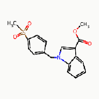 COC(=O)c1cn(Cc2ccc(S(C)(=O)=O)cc2)c2ccccc12